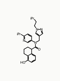 CC(C)CCn1cc(CN(C(=O)C2CCCc3c(O)cccc32)c2ccc(C(C)C)nc2)cn1